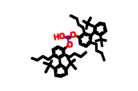 CCCCc1ccc(OP(O)Oc2ccc(CCCC)c(-c3c(C(C)(C)C)cccc3C(C)(C)C)c2CCCC)c(CCCC)c1-c1c(C(C)(C)C)cccc1C(C)(C)C